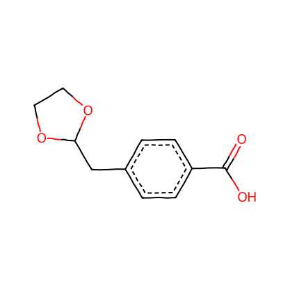 O=C(O)c1ccc(CC2OCCO2)cc1